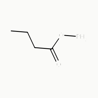 CCCC(=O)OP